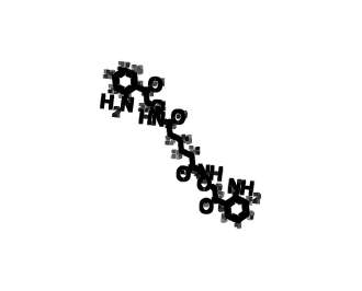 Nc1ccccc1C(=O)CONC(=O)CCCCC(=O)NOCC(=O)c1ccccc1N